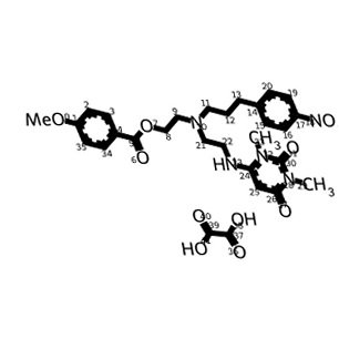 COc1ccc(C(=O)OCCN(CCCc2ccc([N+](=O)[O-])cc2)CCNc2cc(=O)n(C)c(=O)n2C)cc1.O=C(O)C(=O)O